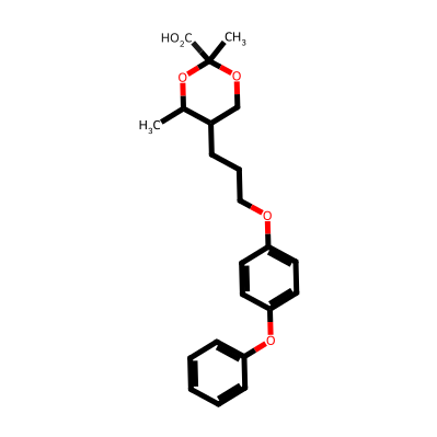 CC1OC(C)(C(=O)O)OCC1CCCOc1ccc(Oc2ccccc2)cc1